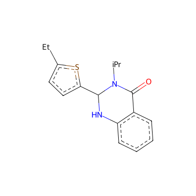 CCc1ccc(C2Nc3ccccc3C(=O)N2C(C)C)s1